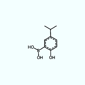 CC(C)c1ccc(O)c(B(O)O)c1